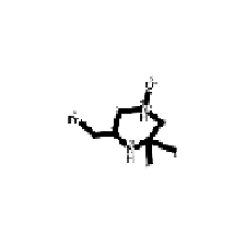 CC(C)CC1C[NH+]([O-])CC(C)(C)N1